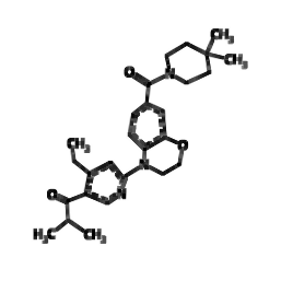 CCc1cc(N2CCOc3cc(C(=O)N4CCC(C)(C)CC4)ccc32)ncc1C(=O)C(C)C